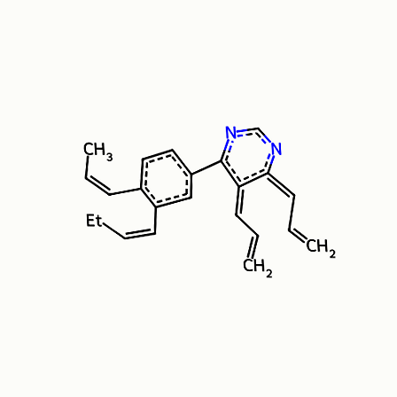 C=C/C=c1/c(-c2ccc(/C=C\C)c(/C=C\CC)c2)ncn/c1=C/C=C